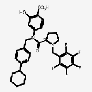 O=C(O)c1ccc(N(Cc2ccc(C3CCCCC3)cc2)C(=O)[C@H]2CCCN2Cc2c(F)c(F)c(F)c(F)c2F)cc1O